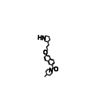 CC1CCN(C(=O)c2ccc3cc(OCCCC4CCCNC4)ccc3c2)CC1